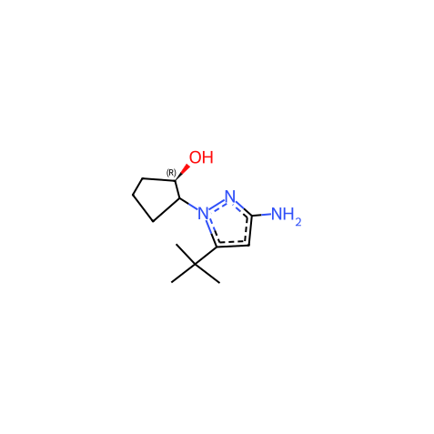 CC(C)(C)c1cc(N)nn1C1CCC[C@H]1O